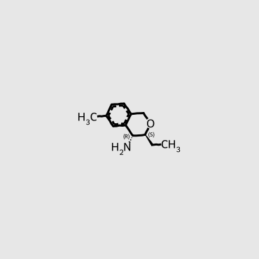 CC[C@@H]1OCc2ccc(C)cc2[C@H]1N